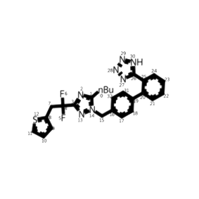 CCCCc1nc(C(F)(F)Cc2cccs2)nn1Cc1ccc(-c2ccccc2-c2nnn[nH]2)cc1